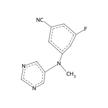 CN(c1cncnc1)c1cc(F)cc(C#N)c1